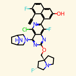 C#Cc1c(F)ccc2cc(O)cc(-c3nc(Cl)c4c(N5CC6CCC(C5)N6)nc(OC[C@@]56CCCN5C[C@H](F)C6)nc4c3F)c12